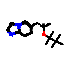 C[C@H](Cc1ccc2nccn2c1)O[Si](C)(C)C(C)(C)C